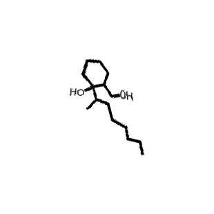 CCCCCCC(C)C1(O)CCCCC1CO